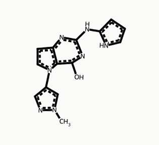 Cn1cc(-n2ccc3nc(Nc4ccc[nH]4)nc(O)c32)cn1